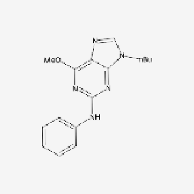 CCCCn1cnc2c(OC)nc(Nc3ccccc3)nc21